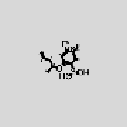 C=CCC(C)Oc1cc(F)c(F)cc1B(O)O